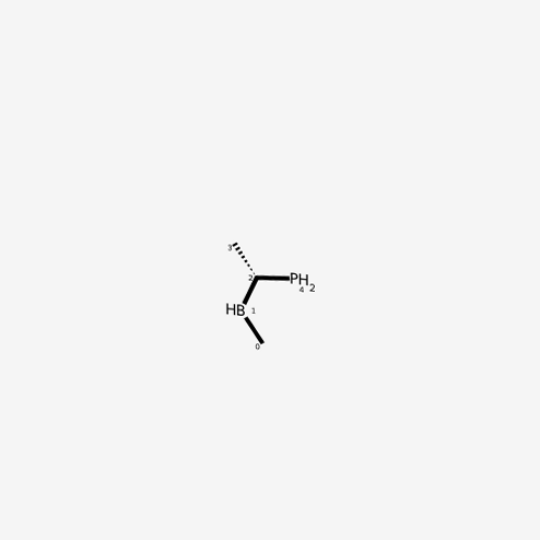 CB[C@H](C)P